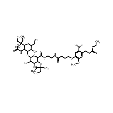 CCSC(=O)SCc1cc(OC)c(OCCCC(=O)NCCNC(=O)C2OC(OC3C(O)C(CO)OC(C(C)(CC)CC)C3NC(C)=O)C(O)C(O)C2OC(C)(CC)CC)cc1[N+](=O)[O-]